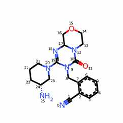 N#Cc1ccccc1CN1C(=O)N2CCOCC2N=C1N1CCC[C@@H](N)C1